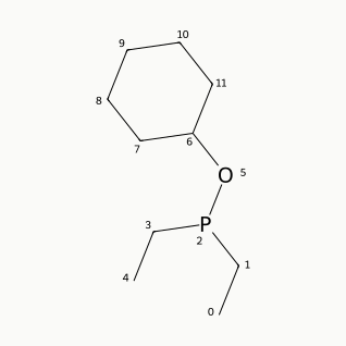 CCP(CC)OC1CCCCC1